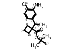 CC(c1ccc(Cl)c(N)c1)C1(C(=O)OC(C)(C)I)CCC1